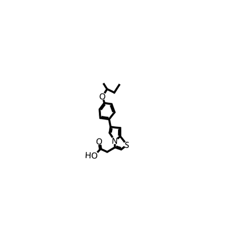 CCC(C)Oc1ccc(-c2cc3scc(CC(=O)O)n3c2)cc1